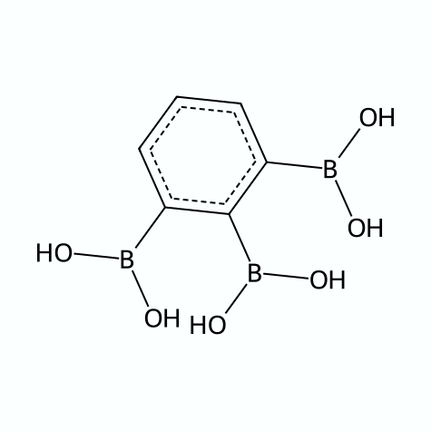 OB(O)c1cccc(B(O)O)c1B(O)O